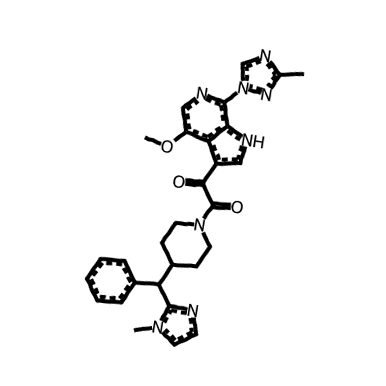 COc1cnc(-n2cnc(C)n2)c2[nH]cc(C(=O)C(=O)N3CCC(C(c4ccccc4)c4nccn4C)CC3)c12